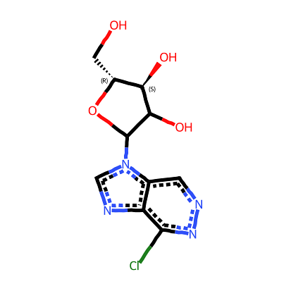 OC[C@H]1OC(n2cnc3c(Cl)nncc32)C(O)[C@@H]1O